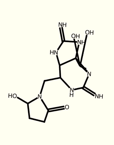 N=C1NC2C(CN3C(=O)CCC3O)NC(=N)N3CCC(O)(O)C23N1